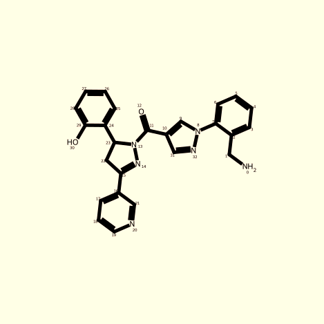 NCc1ccccc1-n1cc(C(=O)N2N=C(c3cccnc3)CC2c2ccccc2O)cn1